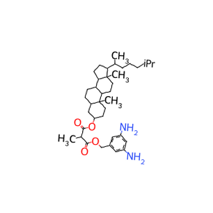 CC(C)CCCC(C)C1CCC2C3CCC4CC(OC(=O)C(C)C(=O)OCc5cc(N)cc(N)c5)CCC4(C)C3CCC12C